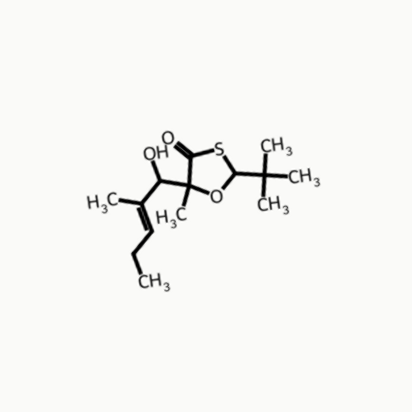 CCC=C(C)C(O)C1(C)OC(C(C)(C)C)SC1=O